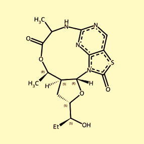 CC[C@H](O)[C@@H]1C[C@@H]2[C@@H](O1)n1c(=O)sc3cnc(nc31)NC(C)C(=O)O[C@@H]2C